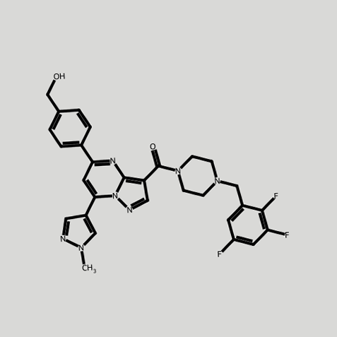 Cn1cc(-c2cc(-c3ccc(CO)cc3)nc3c(C(=O)N4CCN(Cc5cc(F)cc(F)c5F)CC4)cnn23)cn1